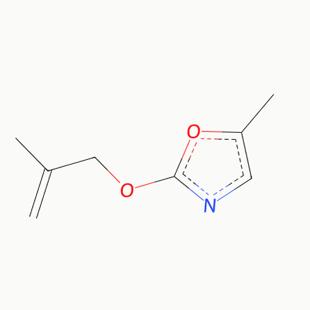 C=C(C)COc1ncc(C)o1